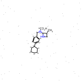 C[C@H]1CN[C@H]1N(Cc1ccc(C2CCCCC2)cc1)C(=O)O